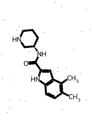 Cc1ccc2[nH]c(C(=O)N[C@@H]3CCCNC3)cc2c1C